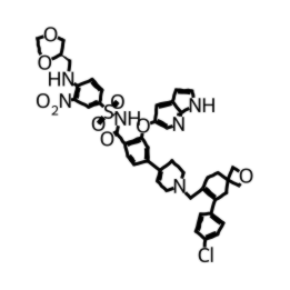 O=C(NS(=O)(=O)c1ccc(NC[C@@H]2COCCO2)c([N+](=O)[O-])c1)c1ccc(C2=CCN(CC3=C(c4ccc(Cl)cc4)CC4(CC3)COC4)CC2)cc1Oc1cnc2[nH]ccc2c1